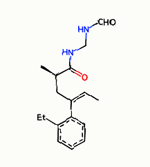 C/C=C(/C[C@@H](C)C(=O)NCNC=O)c1ccccc1CC